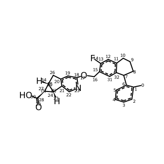 Cc1ccccc1C1CCCc2cc(F)c(COc3cc4c(cn3)[C@H]3[C@@H](C4)[C@@H]3C(=O)O)cc21